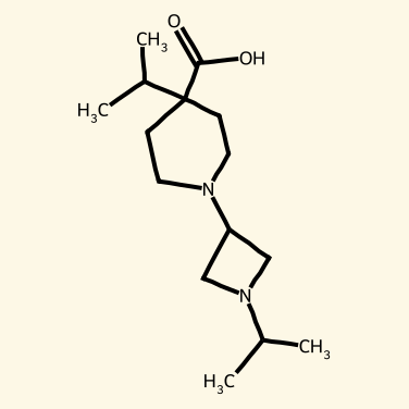 CC(C)N1CC(N2CCC(C(=O)O)(C(C)C)CC2)C1